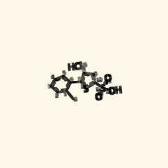 Cc1ccccc1-c1ccc(S(=O)(=O)O)s1.Cl